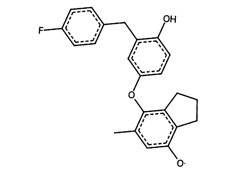 Cc1cc([O])c2c(c1Oc1ccc(O)c(Cc3ccc(F)cc3)c1)CCC2